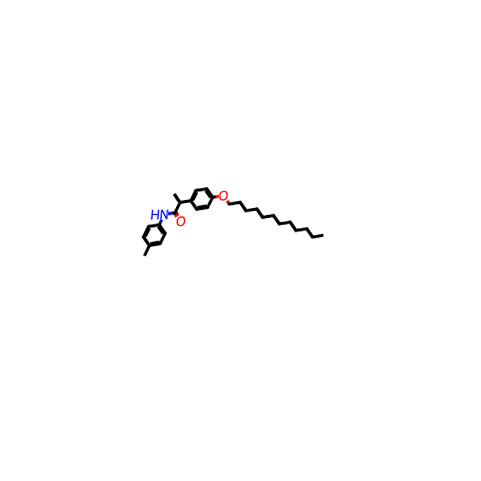 CCCCCCCCCCCCOc1ccc(C(C)C(=O)Nc2ccc(C)cc2)cc1